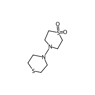 O=S1(=O)CCN(N2CCSCC2)CC1